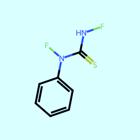 FNC(=S)N(F)c1ccccc1